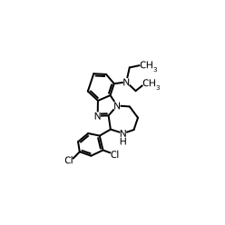 CCN(CC)c1cccc2nc3n(c12)CCCNC3c1ccc(Cl)cc1Cl